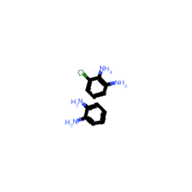 Nc1cccc(Cl)c1N.Nc1ccccc1N